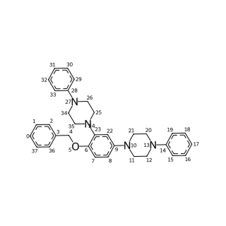 c1ccc(COc2ccc(N3CCN(c4ccccc4)CC3)cc2N2CCN(c3ccccc3)CC2)cc1